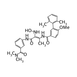 COc1ccc(C(=O)N/C(C)=C(\NO)C(=O)Nc2cccc(C(=O)N(C)C)c2)cc1-c1c(C)cccc1C